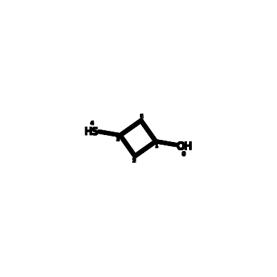 OC1CC(S)C1